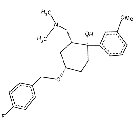 COc1cccc([C@@]2(O)CC[C@H](OCc3ccc(F)cc3)C[C@@H]2CN(C)C)c1